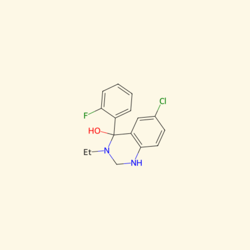 CCN1CNc2ccc(Cl)cc2C1(O)c1ccccc1F